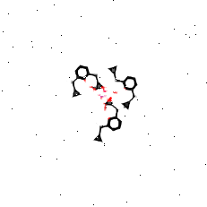 C[C@@H](c1cccc([C@H](C)C2CC2)c1OCOP(=O)(OCOc1c([C@H](C)C2CC2)cccc1[C@H](C)C1CC1)OCOc1c([C@H](C)C2CC2)cccc1[C@H](C)C1CC1)C1CC1